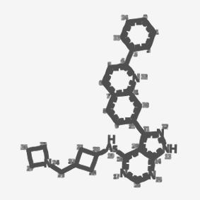 c1ccc(-c2ccc3ccc(-c4n[nH]c5ncnc([AsH]C6CC(CN7CCC7)C6)c45)cc3n2)cc1